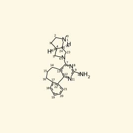 CN1CC[C@@H]2CN(c3nc(N)nc4c3CCCc3ccccc3-4)C[C@@H]21